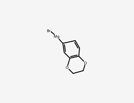 [Br][Mg][c]1ccc2c(c1)OCCO2